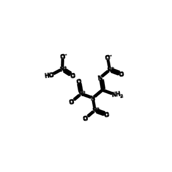 NC(=N[N+](=O)[O-])N([N+](=O)[O-])[N+](=O)[O-].O=[N+]([O-])O